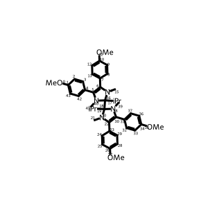 COc1ccc(C2=C(c3ccc(OC)cc3)N(C)C(C(C)C)(C3(C(C)C)N(C)C(c4ccc(OC)cc4)=C(c4ccc(OC)cc4)N3C)N2C)cc1